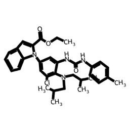 CCOC(=O)c1cc2ccccc2n1-c1cc(Cl)c(N(CC(C)C)CC(C)C)c(NC(=O)Nc2ccc(C)cc2)c1